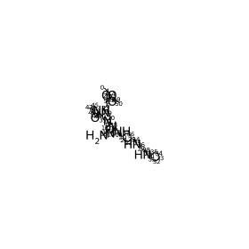 CCOP(=O)(CCCN1CCN(c2cc(N)nc(NCC3CCC(CNCCCNC4CCCCC4)CC3)n2)CC1C(=O)NC(C)(C)C)OCC